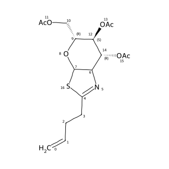 C=CCCC1=NC2C(O[C@H](COC(C)=O)[C@@H](OC(C)=O)[C@@H]2OC(C)=O)S1